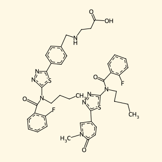 CCCCN(C(=O)c1ccccc1F)c1nnc(-c2ccc(=O)n(C)c2)s1.CCCCN(C(=O)c1ccccc1F)c1nnc(-c2ccc(CNCCC(=O)O)cc2)s1